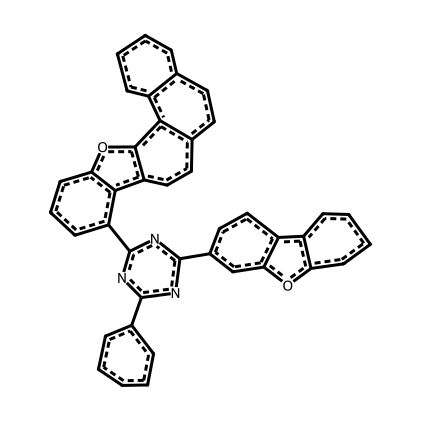 c1ccc(-c2nc(-c3ccc4c(c3)oc3ccccc34)nc(-c3cccc4oc5c(ccc6ccc7ccccc7c65)c34)n2)cc1